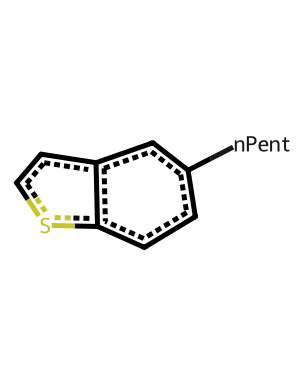 [CH2]CCCCc1ccc2sccc2c1